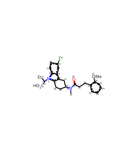 CCC(C(=O)O)n1c2c(c3cc(F)ccc31)CC(N(C)C(=O)CCc1ccccc1OC)CC2